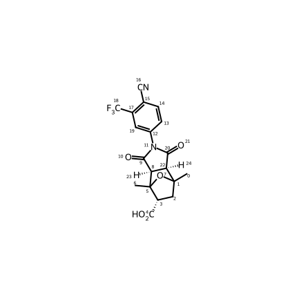 CC12C[C@H](C(=O)O)C(C)(O1)[C@H]1C(=O)N(c3ccc(C#N)c(C(F)(F)F)c3)C(=O)[C@H]12